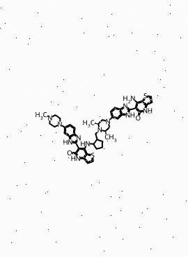 C[C@@H]1CN(c2ccc3nc(-c4c(N)c5sccc5[nH]c4=O)[nH]c3c2)C[C@H](C)N1CC1CCCC1Nc1c(-c2nc3ccc(N4CCN(C)CC4)cc3[nH]2)c(=O)[nH]c2ccsc12